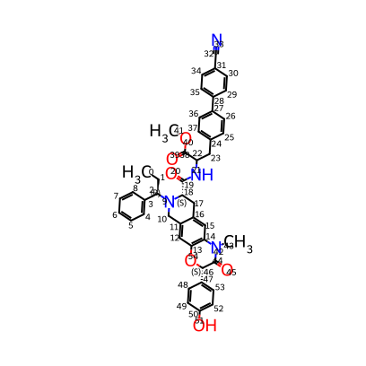 CC[C@H](c1ccccc1)N1Cc2cc3c(cc2C[C@H]1C(=O)NC(Cc1ccc(-c2ccc(C#N)cc2)cc1)C(=O)OC)N(C)C(=O)[C@H](c1ccc(O)cc1)O3